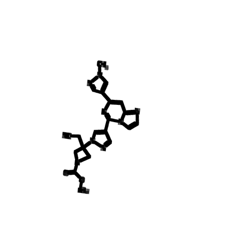 CCCCOC(=O)N1CC(CC#N)(n2cc(-c3nc(-c4cnn(C)c4)cc4nccn34)cn2)C1